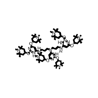 CN1C(C)(C)CC(OC2=NN(OC3CC(C)(C)N(C)C(C)(C)C3)NC(NCCCN(CCCNC3=CC(OC4CC(C)(C)N(C)C(C)(C)C4)=NN(OC4CC(C)(C)N(C)C(C)(C)C4)N3)C3=CC(OC4CC(C)(C)N(C)C(C)(C)C4)=NN(OC4CC(C)(C)N(C)C(C)(C)C4)N3)=C2)CC1(C)C